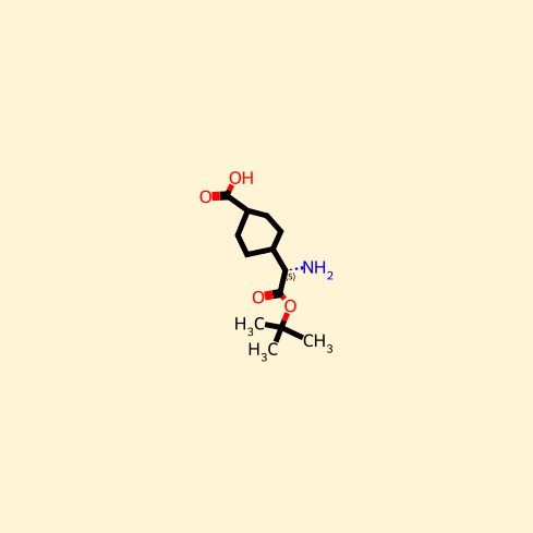 CC(C)(C)OC(=O)[C@@H](N)C1CCC(C(=O)O)CC1